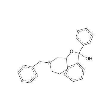 OC(OC1CCCN(Cc2ccccc2)C1)(c1ccccc1)c1ccccc1